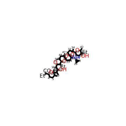 CCC(C(=O)O)C1CCC(C)C(C)(C(C)C(O)[C@H](C)C(=O)C(CC)C2O[C@]3(C=CC(NC4CC4)C4(CCC(C)(C5CCC(O)(CC)C(C)O5)O4)O3)[C@H](C)C[C@@H]2C)O1